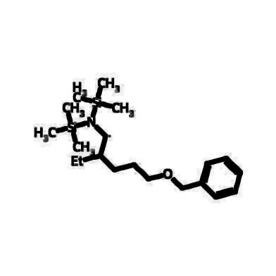 CCC([CH]N([Si](C)(C)C)[Si](C)(C)C)CCCOCc1ccccc1